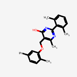 Cc1ccc(C(C)C)cc1OCc1c(C)nc(-c2c(C)cccc2C)nc1O